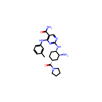 Cc1cccc(Nc2nc(N[C@@H]3CC[C@@H](C(=O)N4CCCC4)C[C@@H]3N)ncc2C(N)=O)c1